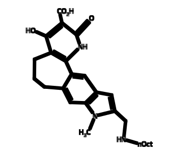 CCCCCCCCNCc1cc2cc3c(cc2n1C)CCCc1c-3[nH]c(=O)c(C(=O)O)c1O